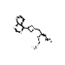 CCS/C(=C\N)CN1CC(c2ncnc3sccc23)C1